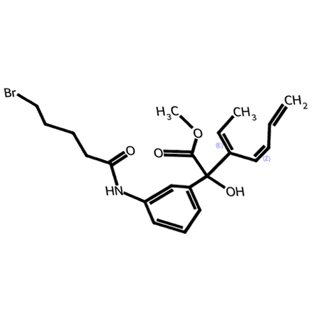 C=C/C=C\C(=C/C)C(O)(C(=O)OC)c1cccc(NC(=O)CCCCBr)c1